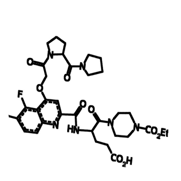 CCOC(=O)N1CCN(C(=O)C(CCC(=O)O)NC(=O)c2cc(OCC(=O)N3CCCC3C(=O)N3CCCC3)c3c(F)c(F)ccc3n2)CC1